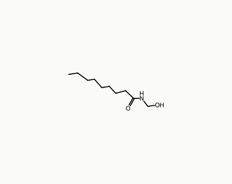 CCCCCCCCC(=O)NCO